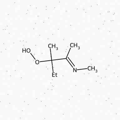 CCC(C)(OO)C(C)=NC